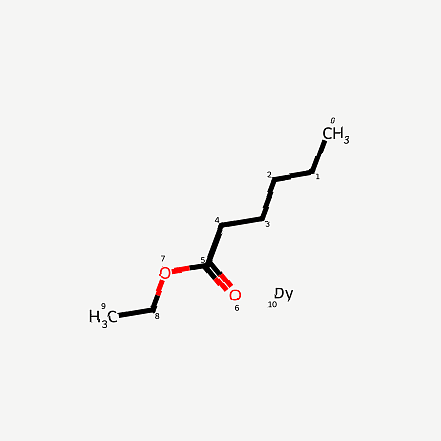 CCCCCC(=O)OCC.[Dy]